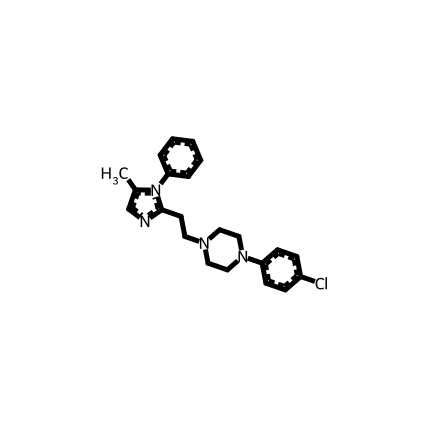 Cc1cnc(CCN2CCN(c3ccc(Cl)cc3)CC2)n1-c1ccccc1